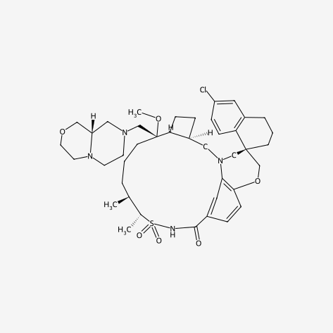 CO[C@@]1(CN2CCN3CCOC[C@@H]3C2)CCC[C@H](C)[C@@H](C)S(=O)(=O)NC(=O)c2ccc3c(c2)N(C[C@@H]2CC[C@H]21)C[C@@]1(CCCc2cc(Cl)ccc21)CO3